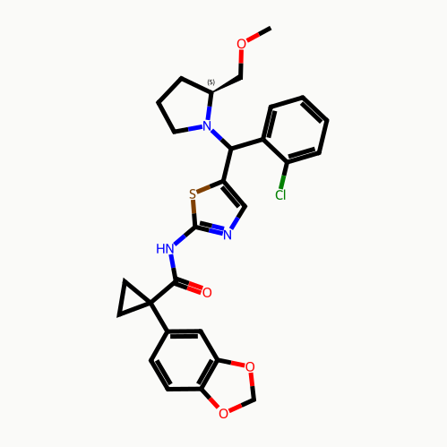 COC[C@@H]1CCCN1C(c1cnc(NC(=O)C2(c3ccc4c(c3)OCO4)CC2)s1)c1ccccc1Cl